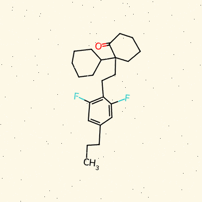 CCCc1cc(F)c(CCC2(C3CCCCC3)CCCCC2=O)c(F)c1